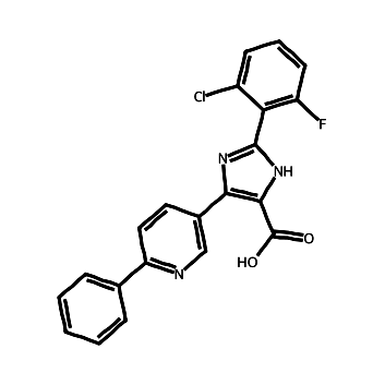 O=C(O)c1[nH]c(-c2c(F)cccc2Cl)nc1-c1ccc(-c2ccccc2)nc1